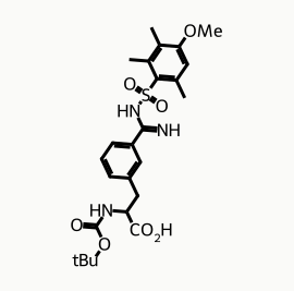 COc1cc(C)c(S(=O)(=O)NC(=N)c2cccc(CC(NC(=O)OC(C)(C)C)C(=O)O)c2)c(C)c1C